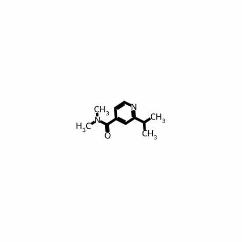 CC(C)c1cc(C(=O)N(C)C)ccn1